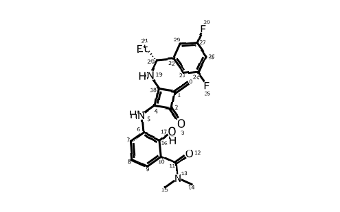 C=C1C(=O)C(Nc2cccc(C(=O)N(C)C)c2O)=C1N[C@H](CC)c1cc(F)cc(F)c1